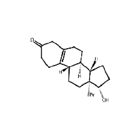 CCC[C@]12CC[C@@H]3C4=C(CC[C@H]3[C@@H]1CC[C@@H]2O)CC(=O)CC4